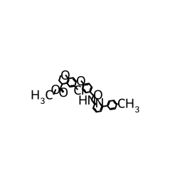 CCOC(=O)C1CCOc2cc(Oc3ccc(C(=O)Nc4cccc(-c5ccc(C)cc5)n4)cc3)c(Cl)cc21